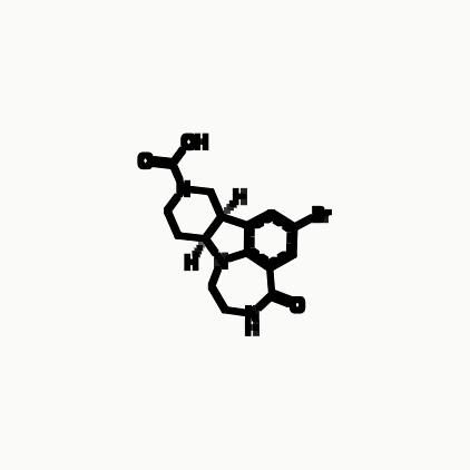 O=C1NCCN2c3c1cc(Br)cc3[C@@H]1CN(C(=O)O)CC[C@@H]12